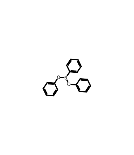 c1ccc(OB(Oc2ccccc2)c2ccccc2)cc1